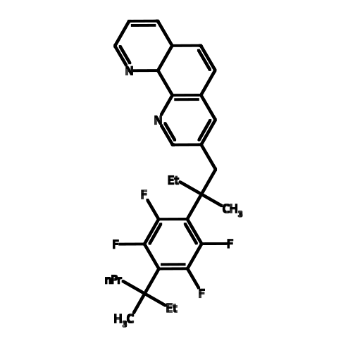 CCCC(C)(CC)c1c(F)c(F)c(C(C)(CC)Cc2cnc3c(c2)C=CC2C=CC=NC32)c(F)c1F